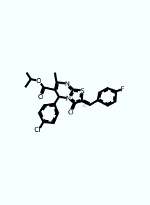 CC1=C(C(=O)OC(C)C)C(c2ccc(Cl)cc2)n2c(s/c(=C\c3ccc(F)cc3)c2=O)=N1